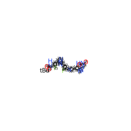 Cn1nc(N2CCC(=O)NC2=O)c2ccc(C3CCN(Cc4ccc(-c5cc6nccc(-c7ccc(CNC(=O)OC(C)(C)C)c(F)c7)n6n5)cc4F)CC3)cc21